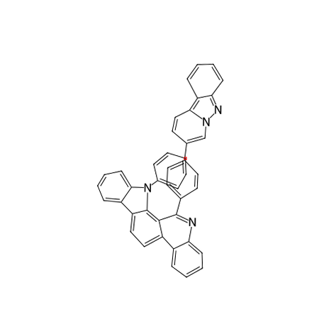 c1ccc(-n2c3ccccc3c3ccc4c5ccccc5nc(-c5ccc(-c6ccc7c8ccccc8nn7c6)cc5)c4c32)cc1